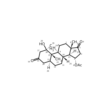 CC(=O)O[C@H]1CC(=O)[C@@]2(C)CC[C@H]3[C@@H](CC[C@H]4CC(=O)C[C@@](C)(O)[C@@]43C)[C@H]12